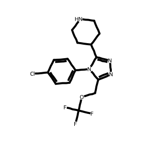 FC(F)(F)OCc1nnc(C2CCNCC2)n1-c1ccc(Cl)cc1